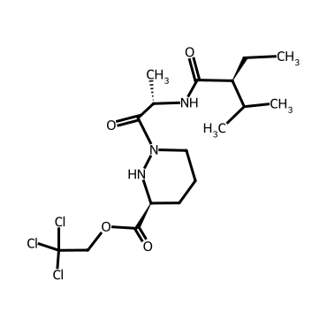 CC[C@H](C(=O)N[C@@H](C)C(=O)N1CCC[C@@H](C(=O)OCC(Cl)(Cl)Cl)N1)C(C)C